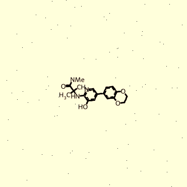 CNC(=O)C(C)(C)Nc1ncc(-c2ccc3c(c2)OCCO3)cc1O